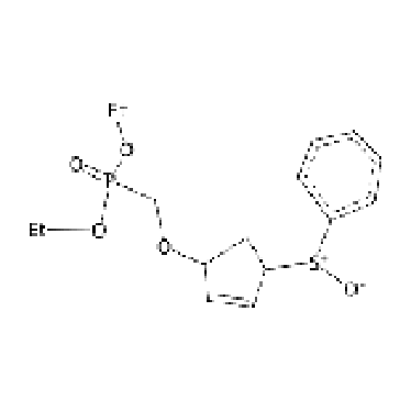 CCOP(=O)(COC1C=CC([S+]([O-])c2ccccc2)C1)OCC